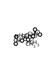 Cc1c(C)c2c(c3c1-c1ccc(N4c5ccccc5Cc5ccccc54)cc1C3(C)C)C(C)(C)c1cc(N3c4ccccc4Cc4ccccc43)ccc1-2